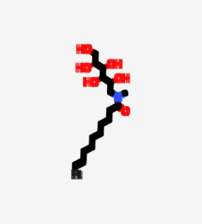 CCC=CCCCCCCCC(=O)N(C)C[C@H](O)[C@@H](O)[C@H](O)[C@H](O)CO